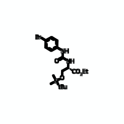 CCOC(=O)[C@H](CO[Si](C)(C)C(C)(C)C)NC(=O)Nc1ccc(Br)cc1